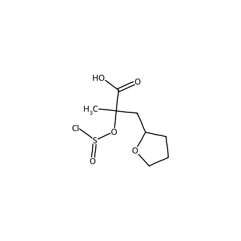 CC(CC1CCCO1)(OS(=O)Cl)C(=O)O